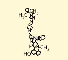 CCc1cccc2cc(O)cc(-c3ncc4c(N5CC6CCC(C5)N6)nc(OCCN5CCC6(CC5)CN(c5cc(C(C)C(C)C)on5)C6)nc4c3F)c12